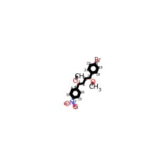 COC(CCC(OC)c1ccc([N+](=O)[O-])cc1)c1ccc(Br)cc1